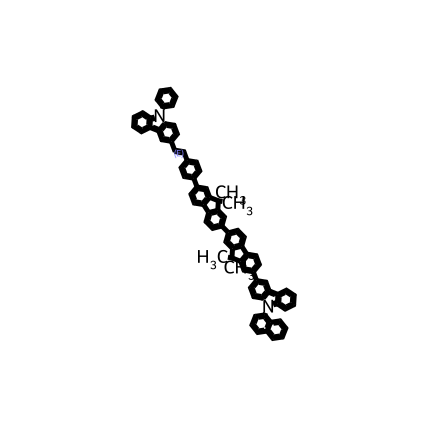 CC1(C)c2cc(-c3ccc(/C=C/c4ccc5c(c4)c4ccccc4n5-c4ccccc4)cc3)ccc2-c2ccc(-c3ccc4c(c3)C(C)(C)c3cc(-c5ccc6c(c5)c5ccccc5n6-c5cccc6ccccc56)ccc3-4)cc21